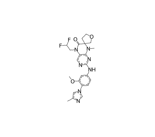 COc1cc(Nc2ncc3c(n2)N(C)C2(CCOC2)C(=O)N3CC(F)F)ccc1-n1cnc(C)c1